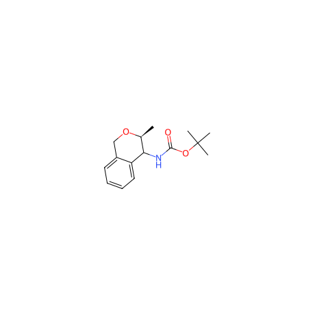 C[C@@H]1OCc2ccccc2C1NC(=O)OC(C)(C)C